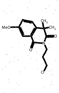 COc1ccc2c(c1)C(=O)N(CCCCl)C(=O)C2(C)C